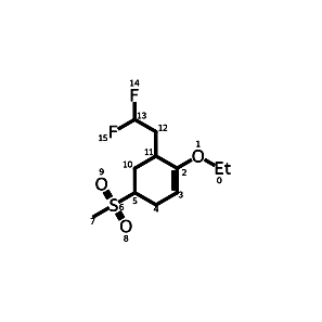 CCOC1=CCC(S(C)(=O)=O)CC1CC(F)F